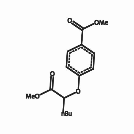 CCCCC(Oc1ccc(C(=O)OC)cc1)C(=O)OC